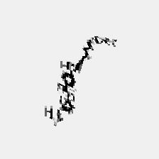 CCCCCCCCCCCCCCCCNc1ccc(C(=O)OC2CCC(C)O2)cc1